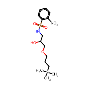 C[Si](C)(C)CCCOCC(O)CNS(=O)(=O)c1ccccc1[N+](=O)[O-]